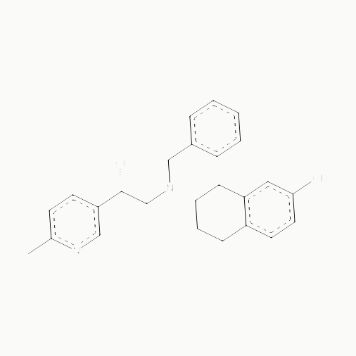 Cc1ccc([C@H](O)CN(Cc2ccccc2)[C@H]2CCc3ccc(O)cc3C2)cn1